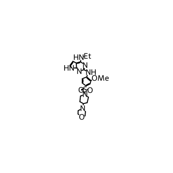 CCNc1nc(Nc2ccc(S(=O)(=O)N3CCC(N4CCOCC4)CC3)cc2OC)nc2[nH]ccc12